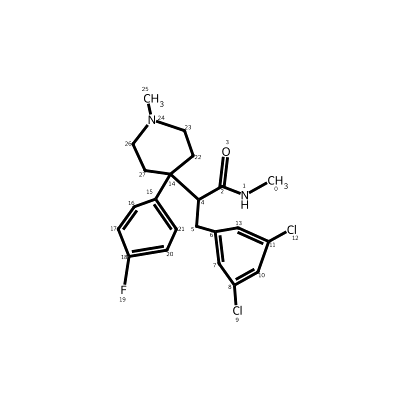 CNC(=O)C(Cc1cc(Cl)cc(Cl)c1)C1(c2ccc(F)cc2)CCN(C)CC1